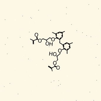 C=C(C)C(=O)OCC(O)COc1c(C)cc(C)cc1Cc1cc(C)cc(C)c1OCC(O)COC(=O)C(=C)C